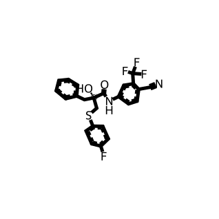 N#Cc1ccc(NC(=O)[C@@](O)(CSc2ccc(F)cc2)Cc2ccccc2)cc1C(F)(F)F